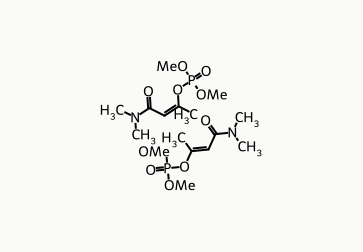 COP(=O)(OC)O/C(C)=C/C(=O)N(C)C.COP(=O)(OC)O/C(C)=C\C(=O)N(C)C